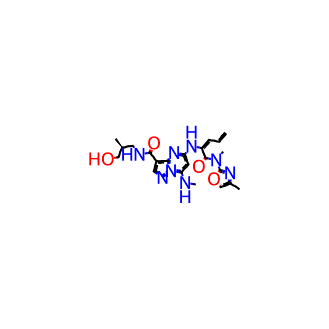 C=C/C=C(/Nc1cc(NC)n2ncc(C(=O)NC[C@H](C)CO)c2n1)C(=O)N(C)c1nc(C)co1